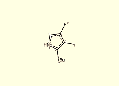 Cc1c(F)c[nH]c1C(C)(C)C